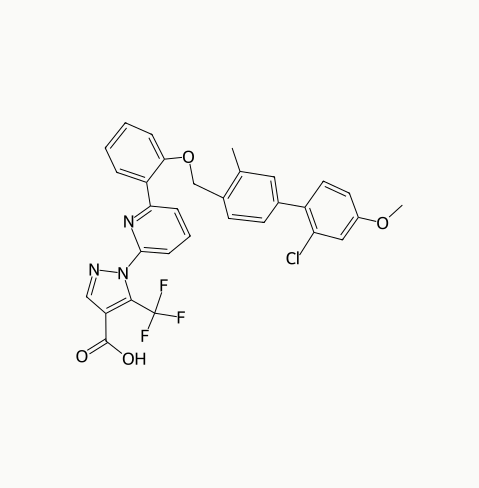 COc1ccc(-c2ccc(COc3ccccc3-c3cccc(-n4ncc(C(=O)O)c4C(F)(F)F)n3)c(C)c2)c(Cl)c1